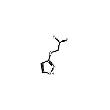 FC(F)COc1cc[nH]n1